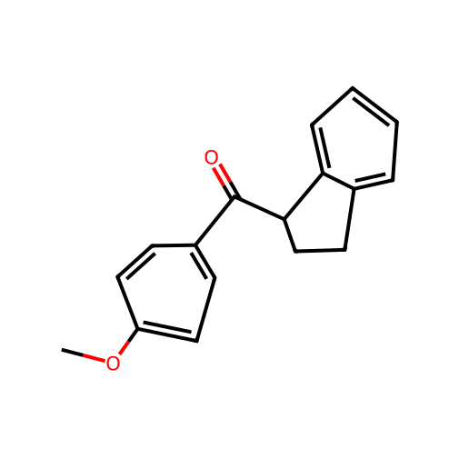 COc1ccc(C(=O)C2CCc3ccccc32)cc1